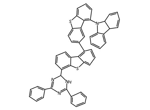 C1=CC2c3ccccc3N(c3cccc4sc5ccc(-c6cccc7sc8c(C9N=C(c%10ccccc%10)N=C(c%10ccccc%10)N9)cccc8c67)cc5c34)C2C=C1